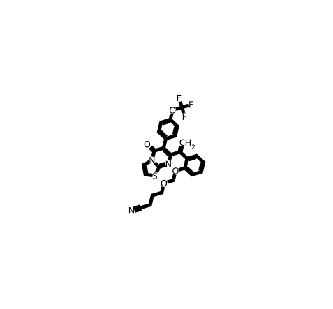 C=C(c1ccccc1OCOCCCC#N)c1nc2sccn2c(=O)c1-c1ccc(OC(F)(F)F)cc1